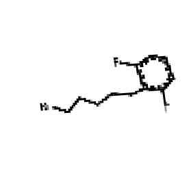 Fc1cccc(F)c1CCCCCBr